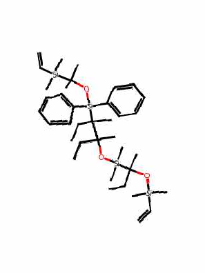 C=C[Si](C)(C)OC(C)(CC)[Si](C)(C)OC(C)(CC)C(C)(CC)[Si](OC(C)(C)[Si](C)(C)C=C)(c1ccccc1)c1ccccc1